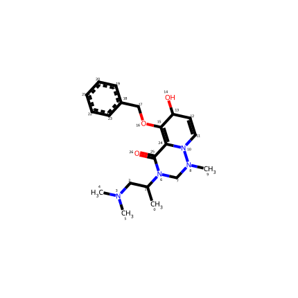 CC(CN(C)C)N1CN(C)N2C=CC(O)C(OCc3ccccc3)=C2C1=O